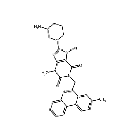 CCn1c(N2CCCC(N)C2)nc2c1c(=O)n(Cc1nc3ccccc3c3ccc(C)cc13)c(=O)n2C